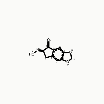 O=C1/C(=N/O)Cc2cc3c(cc21)OCO3